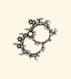 C[C@H](N)C(=O)N[C@H]1CSCC(=O)NCCN2CCNC(=O)CSC[C@@H](C(N)=O)NC(=O)[C@H](C(C)(C)C)NC(=O)C(CC(=O)O)NC(=O)[C@H](Cc3ccc(O)cc3)NC(=O)[C@H](Cc3ccccc3)NC(=O)[C@H](CC(=O)O)NC(=O)[C@@H]3C[C@H](C(=O)O)[C@@H](NC(=O)[C@H](Cc4cccc5ccccc45)NC(=O)[C@H](CCC(=O)O)NC(=O)[C@H](CC(N)=O)NC(=O)[C@@H](C)NC1=O)C(=O)N[C@@H](CSCC(=O)NCC2)C(=O)N3